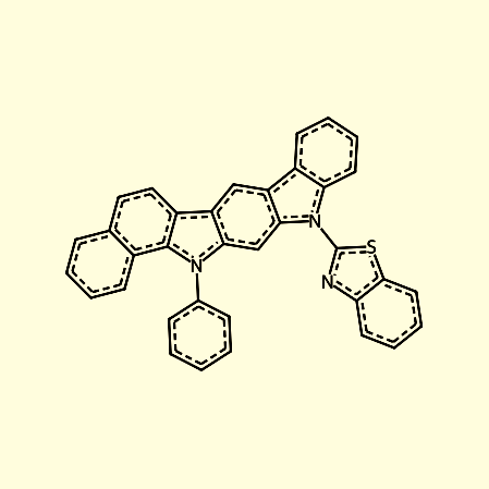 c1ccc(-n2c3cc4c(cc3c3ccc5ccccc5c32)c2ccccc2n4-c2nc3ccccc3s2)cc1